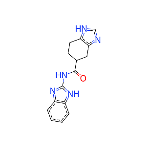 O=C(Nc1nc2ccccc2[nH]1)C1CCc2[nH]cnc2C1